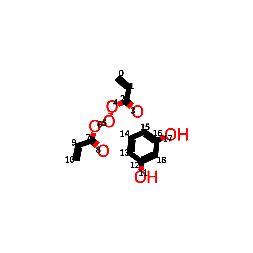 C=CC(=O)OOOC(=O)C=C.Oc1cccc(O)c1